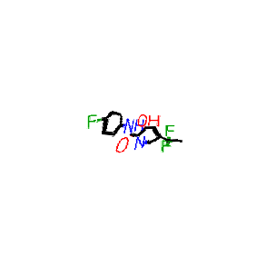 CC(F)(F)c1cnc(C(=O)Nc2ccc(F)cc2)c(O)c1